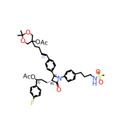 CC(=O)O[C@@H](CC[C@H]1C(=O)N(c2ccc(CCCNS(C)(=O)=O)cc2)[C@@H]1c1ccc(/C=C/CCC2(OC(C)=O)COC(C)(C)OC2)cc1)c1ccc(F)cc1